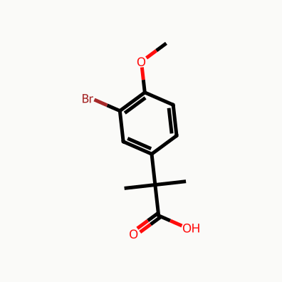 COc1ccc(C(C)(C)C(=O)O)cc1Br